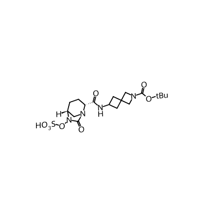 CC(C)(C)OC(=O)N1CC2(CC(NC(=O)[C@H]3CC[C@@H]4CN3C(=O)N4OS(=O)(=O)O)C2)C1